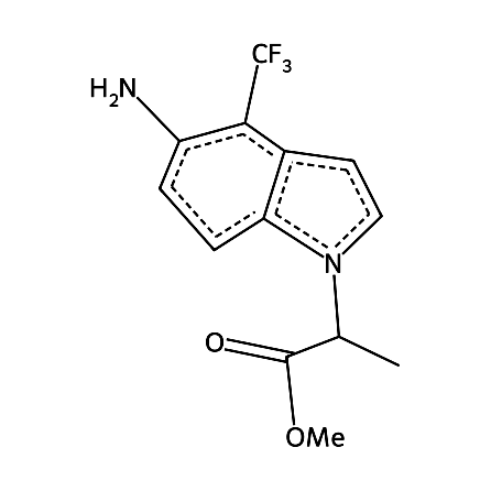 COC(=O)C(C)n1ccc2c(C(F)(F)F)c(N)ccc21